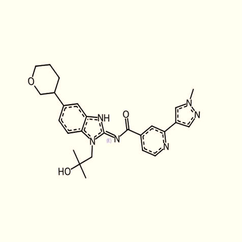 Cn1cc(-c2cc(C(=O)/N=c3\[nH]c4cc(C5CCCOC5)ccc4n3CC(C)(C)O)ccn2)cn1